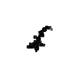 CCS/C(=N\C(=O)Nc1ccc(CNc2ncn(-c3ccc(OC(F)(F)F)cc3)n2)c(Cl)c1)N(C=O)c1cc(C)ccc1COC